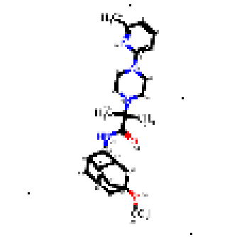 Cc1cccc(N2CCN(C(C)(C)C(=O)NC3C4CC5CC3CC(OC(=O)O)(C5)C4)CC2)n1